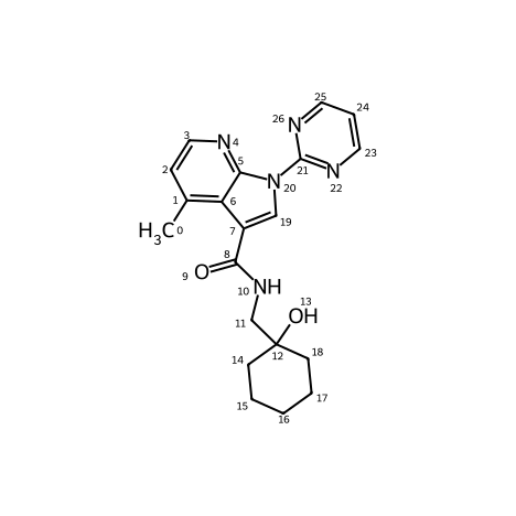 Cc1ccnc2c1c(C(=O)NCC1(O)CCCCC1)cn2-c1ncccn1